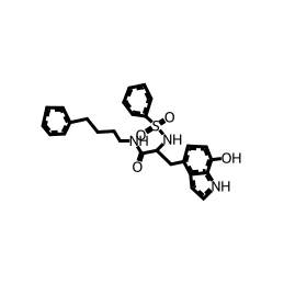 O=C(NCCCCc1ccccc1)C(Cc1ccc(O)c2[nH]ccc12)NS(=O)(=O)c1ccccc1